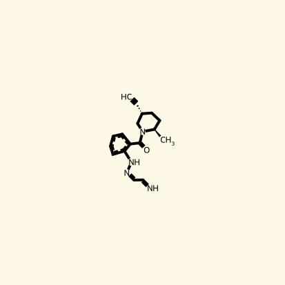 C#C[C@@H]1CC[C@@H](C)N(C(=O)c2ccccc2N/N=C\C=N)C1